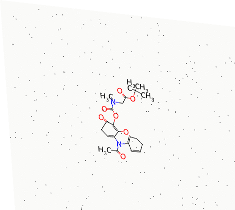 CC(=O)N1C2=CCC(=O)C(OC(=O)N(C)CC(=O)OC(C)(C)C)=C2OC2=C1C=CCC2